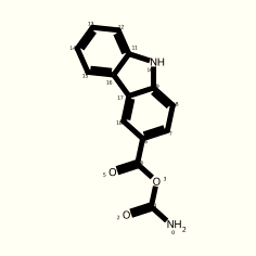 NC(=O)OC(=O)c1ccc2[nH]c3ccccc3c2c1